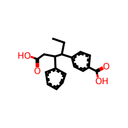 CCC(c1ccc(C(=O)O)cc1)C(CC(=O)O)c1ccccc1